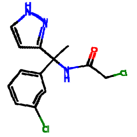 CC(NC(=O)CCl)(c1cccc(Cl)c1)c1cc[nH]n1